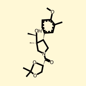 COc1ccc([C@@H]2CN(C(=O)[C@@H]3COC(C)(C)O3)C[C@@]2(C)[C@@H](C)O)cc1C